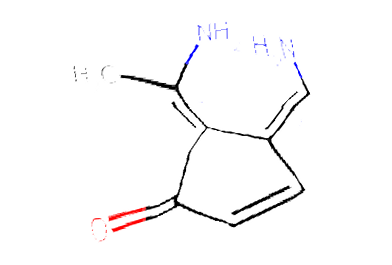 C/C(N)=C1\C(=O)C=C\C1=C\N